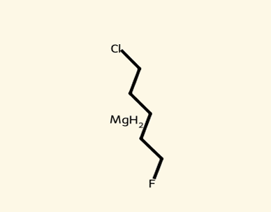 FCCCCCCl.[MgH2]